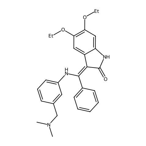 CCOc1cc2c(cc1OCC)C(=C(Nc1cccc(CN(C)C)c1)c1ccccc1)C(=O)N2